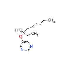 CCCCCCC(C)(CC)Oc1cncnc1